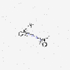 CCCCN1/C(=C/C=C/C=C/C=C/C2=[N+](CCC[N+](C)(C)C)c3ccccc3C2(C)C)C(C)(C)c2ccccc21